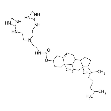 CC(C)CCCC(C)C1CCC2C3CC=C4CC(OC(=O)NCCN(CCNC5NCN5)CCNC5NCN5)CCC4(C)C3CCC12C